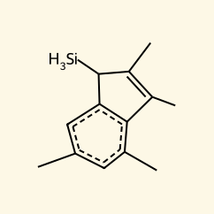 CC1=C(C)C([SiH3])c2cc(C)cc(C)c21